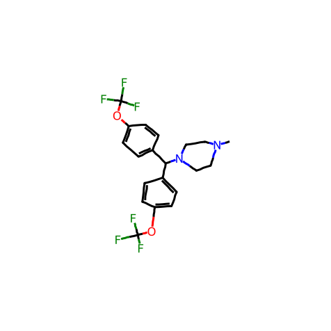 CN1CCN(C(c2ccc(OC(F)(F)F)cc2)c2ccc(OC(F)(F)F)cc2)CC1